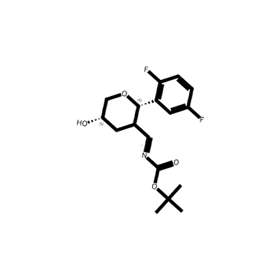 CC(C)(C)OC(=O)/N=C/C1C[C@H](O)CO[C@@H]1c1cc(F)ccc1F